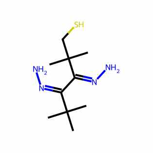 CC(C)(C)C(=NN)C(=NN)C(C)(C)CS